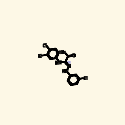 CC(C)(C)C(=O)/C(=N/Nc1cccc(Cl)c1)Nc1ccc(Cl)c(Cl)c1